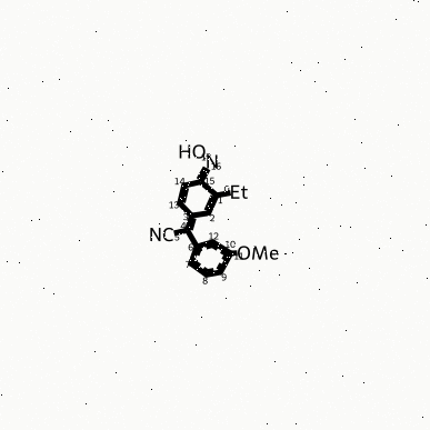 CCC1=CC(=C(C#N)c2cccc(OC)c2)C=CC1=NO